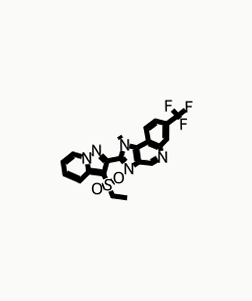 CCS(=O)(=O)c1c(-c2nc3cnc4cc(C(F)(F)F)ccc4c3n2C)nn2ccccc12